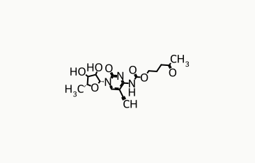 C#Cc1cn([C@@H]2O[C@H](C)C(O)C2O)c(=O)nc1NC(=O)OCCCC(C)=O